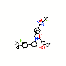 N#CC1(c2ccc(-c3cccc(N(CC45CCC(c6noc(C7(F)CC7)n6)(CC4)CC5)C(=O)[C@H]4C[C@](O)(C(F)(F)F)C4)c3)cc2F)CC1